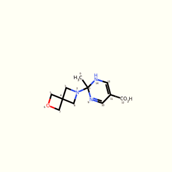 CC1(N2CC3(COC3)C2)N=CC(C(=O)O)=CN1